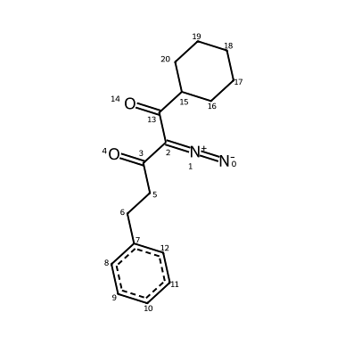 [N-]=[N+]=C(C(=O)CCc1ccccc1)C(=O)C1CCCCC1